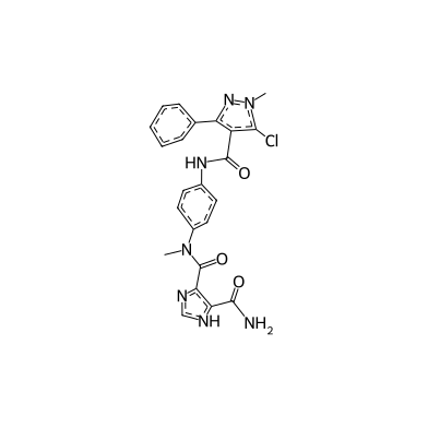 CN(C(=O)c1nc[nH]c1C(N)=O)c1ccc(NC(=O)c2c(-c3ccccc3)nn(C)c2Cl)cc1